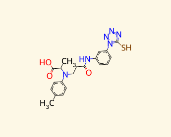 Cc1ccc(N(CCC(=O)Nc2cccc(-n3nnnc3S)c2)C(C)C(=O)O)cc1